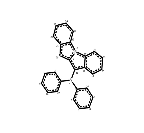 c1ccc(N(c2ccccc2)c2c3ccccc3n3c2sc2ccccc23)cc1